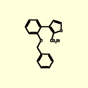 CCOC(=O)c1occc1-c1ccccc1OCc1ccccc1